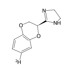 [2H]c1ccc2c(c1)O[C@H](C1=NCCN1)CO2